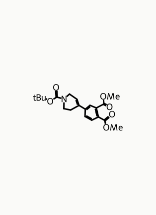 COC(=O)c1ccc(C2=CCN(C(=O)OC(C)(C)C)CC2)cc1C(=O)OC